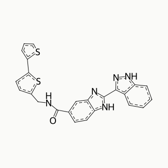 O=C(NCc1ccc(-c2cccs2)s1)c1ccc2[nH]c(-c3n[nH]c4ccccc34)nc2c1